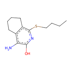 CCCCSc1nc(O)c(N)c2c1CCCC2